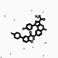 CC1Cc2c(C(N)=O)nn(-c3ccc(F)cc3)c2-c2cc(NC(=O)c3cc(N4CCN(C)CC4)ccc3Cl)ccc21